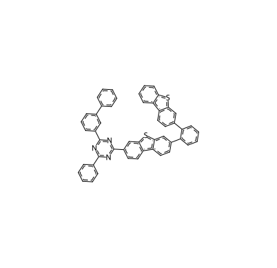 c1ccc(-c2cccc(-c3nc(-c4ccccc4)nc(-c4ccc5c(c4)sc4cc(-c6ccccc6-c6ccc7c(c6)sc6ccccc67)ccc45)n3)c2)cc1